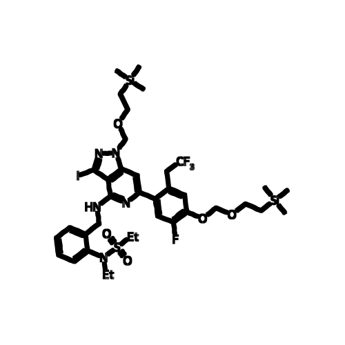 CCN(c1ccccc1CNc1nc(-c2cc(F)c(OCOCC[Si](C)(C)C)cc2CC(F)(F)F)cc2c1c(I)nn2COCC[Si](C)(C)C)S(=O)(=O)CC